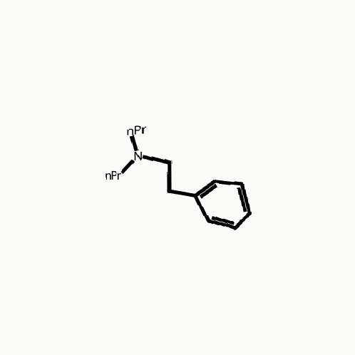 CCCN(CCC)CCc1ccccc1